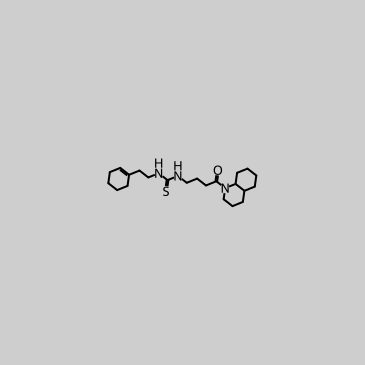 O=C(CCCNC(=S)NCCC1=CCCCC1)N1CCCC2CCCCC21